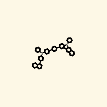 c1ccc(N(c2ccc(-c3ccc(-c4ccc5c(c4)c4cc6ccccc6cc4n5-c4ccccc4)cc3)cc2)c2ccc(-c3cccc4ccccc34)cc2)cc1